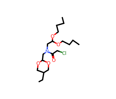 CCCCOC(CN(CC1OCC(CC)CO1)C(=O)CCl)OCCCC